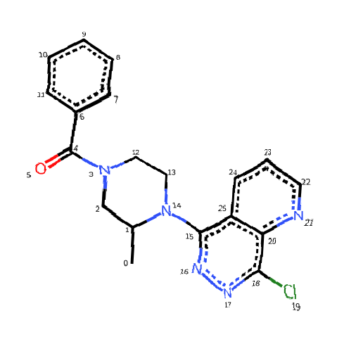 CC1CN(C(=O)c2ccccc2)CCN1c1nnc(Cl)c2ncccc12